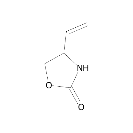 C=CC1COC(=O)N1